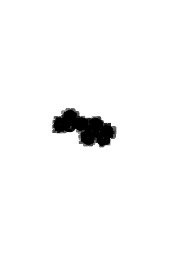 C1=c2cccc(-c3c4ccccc4c(-c4ccc(-c5cccc6c5oc5ccccc56)cc4)c4ccccc34)c2=CCC1